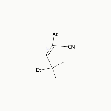 CCC(C)(C)/C=C(\C#N)C(C)=O